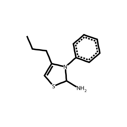 CCCC1=CSC(N)N1c1ccccc1